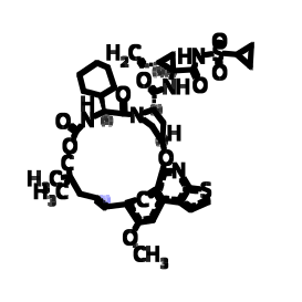 C=C[C@@H]1C[C@]1(NC(=O)[C@@H]1C[C@@H]2CN1C(=O)[C@H](C1CCCCC1)NC(=O)OCC(C)(C)C/C=C/c1cc3c(nc4sccc4c3cc1OC)O2)C(=O)NS(=O)(=O)C1CC1